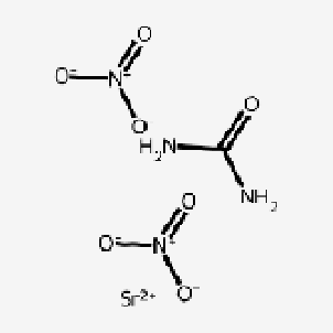 NC(N)=O.O=[N+]([O-])[O-].O=[N+]([O-])[O-].[Sr+2]